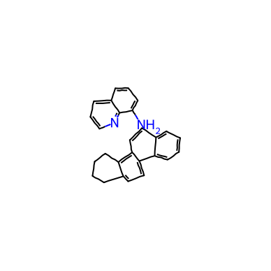 Nc1cccc2cccnc12.c1ccc2c(c1)ccc1c3c(ccc12)CCCC3